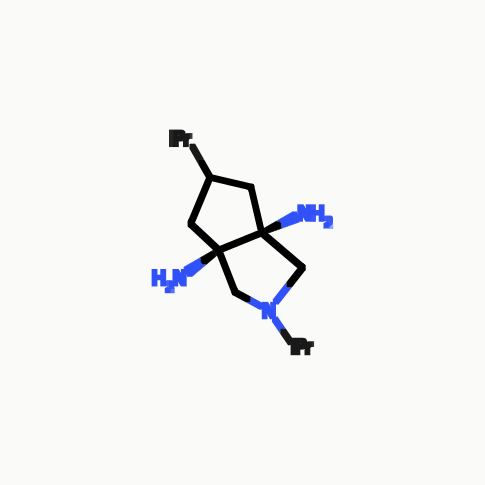 CC(C)C1C[C@@]2(N)CN(C(C)C)C[C@@]2(N)C1